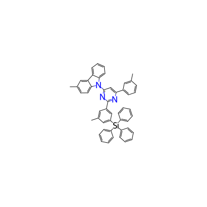 Cc1cccc(-c2cc(-n3c4ccccc4c4cc(C)ccc43)nc(-c3cc(C)cc([Si](c4ccccc4)(c4ccccc4)c4ccccc4)c3)n2)c1